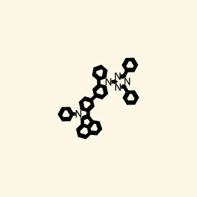 c1ccc(-c2nc(-c3ccccc3)nc(-n3c4ccccc4c4cc(-c5ccc6c(c5)c5c(n6-c6ccccc6)-c6cccc7cccc-5c67)ccc43)n2)cc1